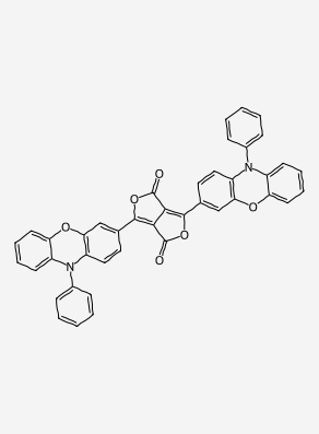 O=C1OC(c2ccc3c(c2)Oc2ccccc2N3c2ccccc2)=C2C(=O)OC(c3ccc4c(c3)Oc3ccccc3N4c3ccccc3)=C12